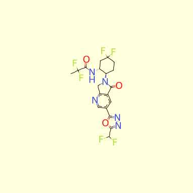 CC(F)(F)C(=O)N[C@@H]1CC(F)(F)CC[C@H]1N1Cc2ncc(-c3nnc(C(F)F)o3)cc2C1=O